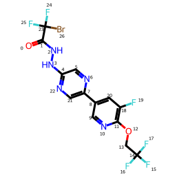 O=C(NNc1cnc(-c2cnc(OCC(F)(F)F)c(F)c2)cn1)C(F)(F)Br